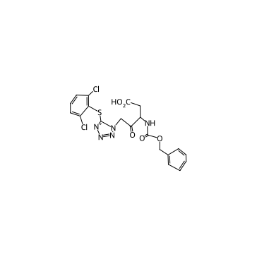 O=C(O)CC(NC(=O)OCc1ccccc1)C(=O)Cn1nnnc1Sc1c(Cl)cccc1Cl